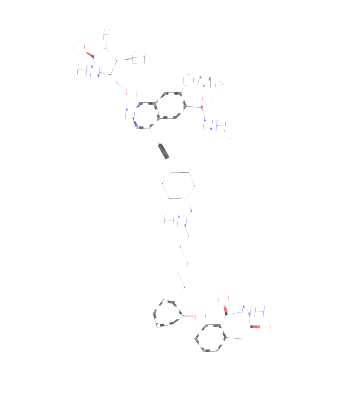 CC[C@@H]1[C@H](F)C(=O)N[C@@H]1COc1ncc(C#C[C@H]2CC[C@H](CNCCCCCc3ccccc3Oc3cccc4c3C(=O)NC(=O)C4)CC2)c2cc(C(N)=O)c(OC)cc12